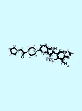 Cc1c(-c2[nH]c3ccc(N4CCN(C(=O)CN5CCCC5)CC4)nc3c2C(C)C)cn2ncnc2c1C